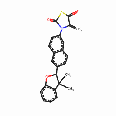 C=C1C(=O)SC(=O)N1c1ccc2cc(C3Oc4ccccc4C3(C)C)ccc2c1